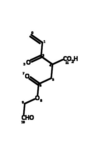 C=CC(=O)C(CC(=O)OCC=O)C(=O)O